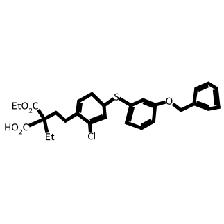 CCOC(=O)C(CC)(CCC1=CCC(Sc2cccc(OCc3ccccc3)c2)C=C1Cl)C(=O)O